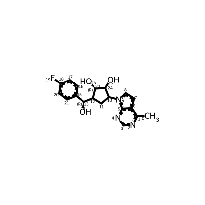 Cc1ncnc2c1ccn2C1CC([C@@H](O)c2ccc(F)cc2)[C@@H](O)C1O